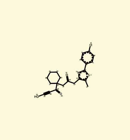 Cc1sc(-c2ccc(Cl)cc2)nc1CC(=O)CC1(C(=O)C#CO)CCCCC1